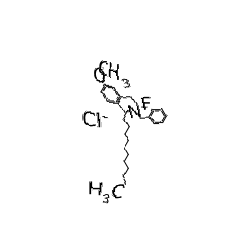 CCCCCCCCCCCC1=[N+](Cc2ccccc2F)CCc2cc(OC)ccc21.[Cl-]